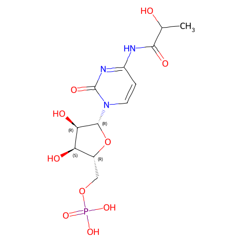 CC(O)C(=O)Nc1ccn([C@@H]2O[C@H](COP(=O)(O)O)[C@@H](O)[C@H]2O)c(=O)n1